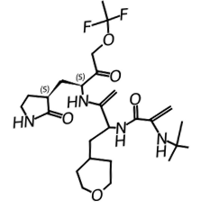 C=C(NC(C)(C)C)C(=O)NC(CC1CCOCC1)C(=C)N[C@@H](C[C@@H]1CCNC1=O)C(=O)COC(C)(F)F